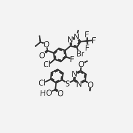 CC(C)OC(=O)c1cc(-c2nn(C)c(C(F)(F)F)c2Br)c(F)cc1Cl.COc1cc(OC)nc(Sc2cccc(Cl)c2C(=O)O)n1